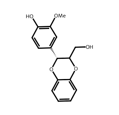 COc1cc([C@H]2Oc3ccccc3OC2CO)ccc1O